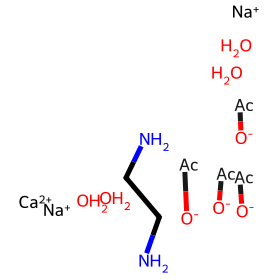 CC(=O)[O-].CC(=O)[O-].CC(=O)[O-].CC(=O)[O-].NCCN.O.O.O.O.[Ca+2].[Na+].[Na+]